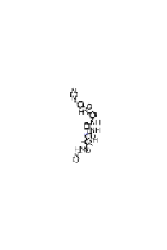 Cc1[nH]c(/C=C2\C(=O)Nc3c(Nc4cccc(NC(=O)c5ccc(CN6CCN(C)CC6)cc5)c4)cccc32)c(C)c1C(=O)NCCN1CCCC1